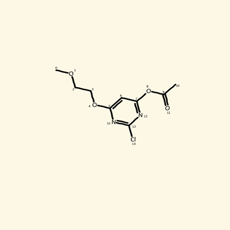 COCCOc1cc(OC(C)=O)nc(Cl)n1